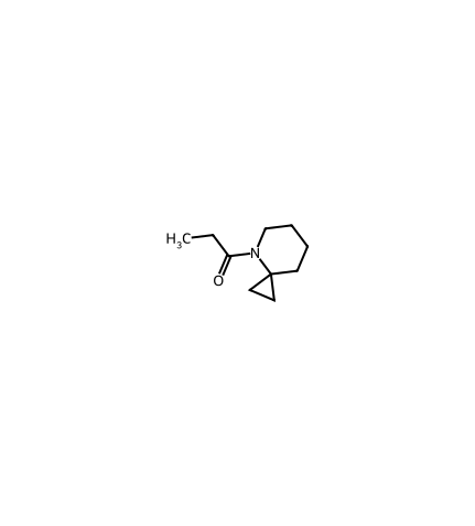 CCC(=O)N1CCCCC12CC2